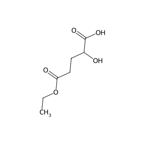 CCOC(=O)CCC(O)C(=O)O